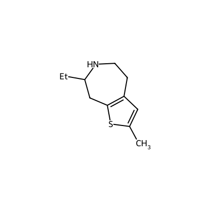 CCC1Cc2sc(C)cc2CCN1